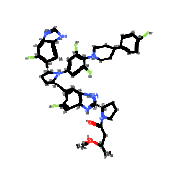 CO[C@H](C)CC(=O)N1CCC[C@H]1c1nc2cc(F)c([C@H]3CC[C@H](c4cc5[nH]cnc5cc4F)N3c3cc(F)c(N4CCC(c5ccc(F)cc5)CC4)c(F)c3)cc2[nH]1